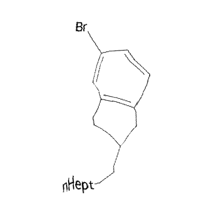 CCCCCCCCC1Cc2ccc(Br)cc2C1